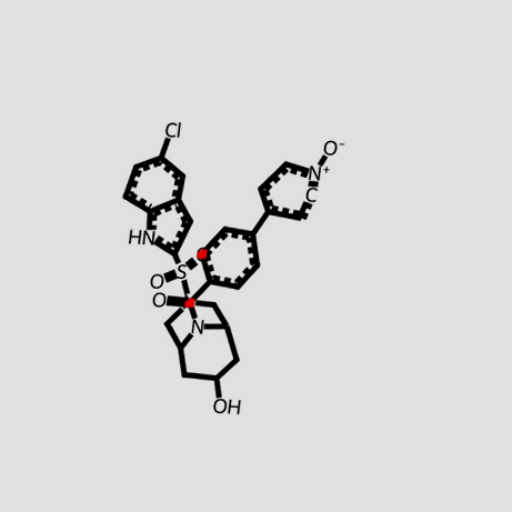 O=C(c1ccc(-c2cc[n+]([O-])cc2)cc1)N1C2CC(O)CC1CN(S(=O)(=O)c1cc3cc(Cl)ccc3[nH]1)C2